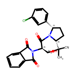 CC(C)(C#N)[C@H]1CC[C@@H](c2cccc(Cl)c2)N1C(=O)[C@@H](CO)N1C(=O)c2ccccc2C1=O